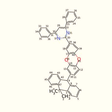 CC1(C)c2ccccc2C(c2ccc3c(c2)Oc2cc(-c4nc(-c5ccccc5)cc(-c5ccccc5)n4)ccc2O3)c2ccccc21